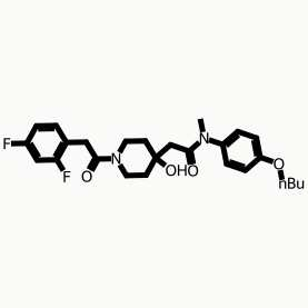 CCCCOc1ccc(N(C)C(=O)CC2(O)CCN(C(=O)Cc3ccc(F)cc3F)CC2)cc1